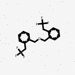 FC(F)(F)Cc1ccccc1COCc1ccccc1CC(F)(F)F